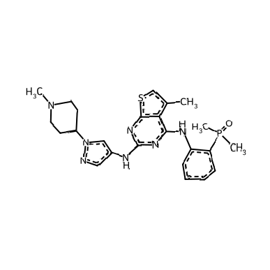 Cc1csc2nc(Nc3cnn(C4CCN(C)CC4)c3)nc(Nc3ccccc3P(C)(C)=O)c12